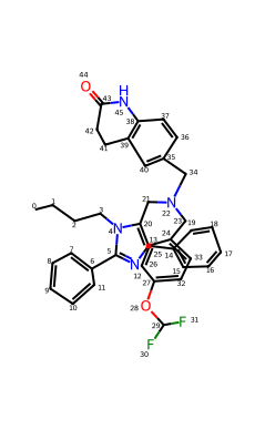 CCCCn1c(-c2ccccc2)nc(-c2ccccc2)c1CN(Cc1ccc(OC(F)F)cc1)Cc1ccc2c(c1)CCC(=O)N2